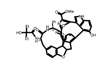 CCC(O)(CC)C(=O)N[C@H]1Cc2ccc3c(c2)C24c5cccc(c5CC2O3)-c2c(O)ccc3[nH]cc(c23)-c2oc(nc2C(=O)OC)-c2nc(oc24)[C@H](C(C)C)NC1=O